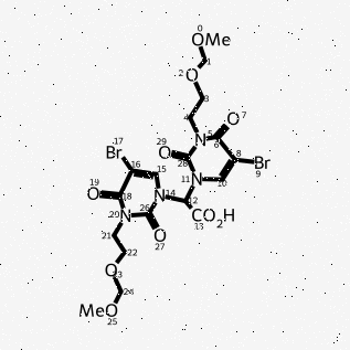 COCOCCn1c(=O)c(Br)cn(C(C(=O)O)n2cc(Br)c(=O)n(CCOCOC)c2=O)c1=O